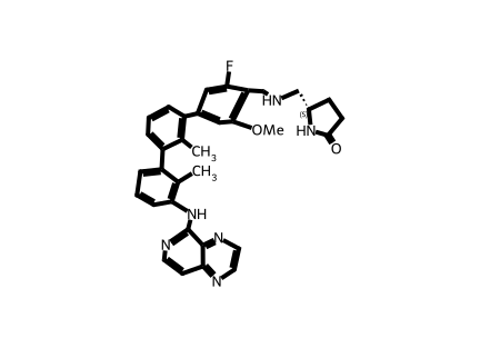 COc1cc(-c2cccc(-c3cccc(Nc4nccc5nccnc45)c3C)c2C)cc(F)c1CNC[C@@H]1CCC(=O)N1